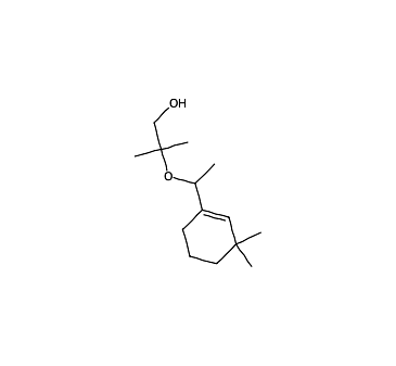 CC(OC(C)(C)CO)C1=CC(C)(C)CCC1